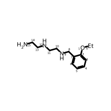 CCOc1ccccc1CNCCNCCN